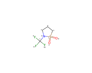 O=S1(=O)CCCN1C(F)(F)F